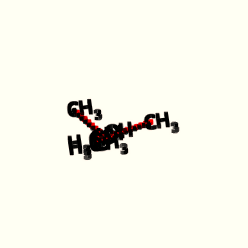 CCCCCCCCCCCCCCCC[C@@H](O)CSC[C@@H](NC(=O)CCCCCCCCCCCCCCC)C(=O)OC(C)(C)C